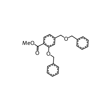 COC(=O)c1ccc(COCc2ccccc2)cc1OCc1ccccc1